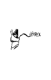 CCCCCCCCCCC1CNCCN1